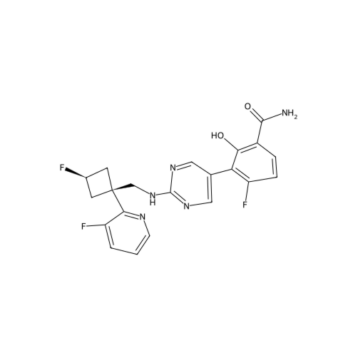 NC(=O)c1ccc(F)c(-c2cnc(NC[C@]3(c4ncccc4F)C[C@H](F)C3)nc2)c1O